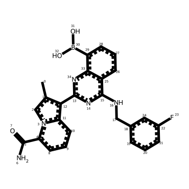 Cc1cn2c(C(N)=O)cccc2c1-c1nc(NCc2cccc(F)c2)c2cccc(B(O)O)c2n1